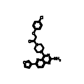 Nc1nc(N2CCN(C(=O)COc3ccc(Cl)cc3)CC2)c2nc(-c3ccoc3)ccc2n1